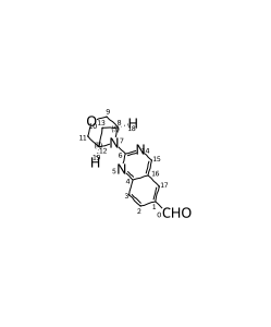 O=Cc1ccc2nc(N3[C@@H]4COC[C@H]3C4)ncc2c1